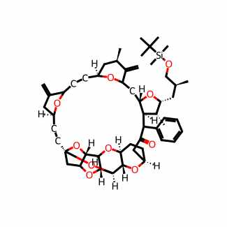 C=C1C[C@@H]2CC[C@@]34CC5O[C@H]6[C@@H](O3)[C@H]3O[C@H](CC[C@@H]3O[C@H]6[C@H]5O4)CC(=O)C(c3ccccc3)[C@@H]3[C@@H](C)[C@@H](C[C@H](C)CO[Si](C)(C)C(C)(C)C)O[C@H]3CC3O[C@@H](CCC1O2)C[C@@H](C)C3=C